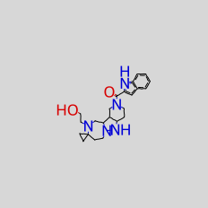 O=C(c1cc2ccccc2[nH]1)N1CCC2NN3CCC4(CC4)N(CCO)CC3C2C1